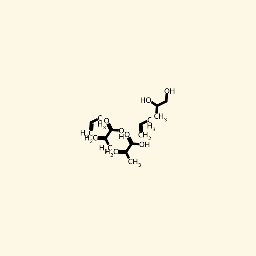 C=C(C)C(=O)O.C=C(C)C(=O)O.C=CC.C=CC.CC(O)CO